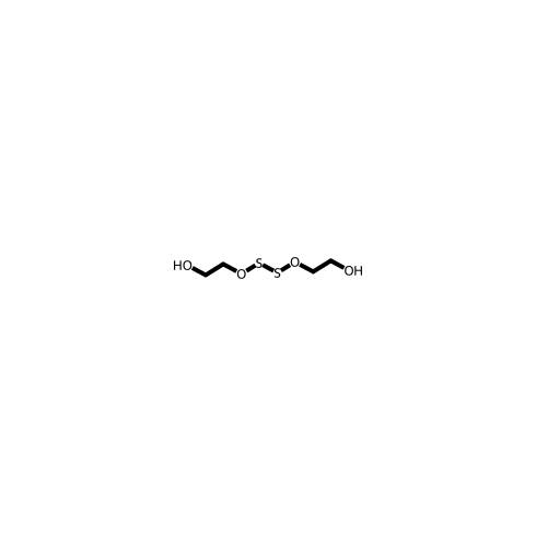 OCCOSSOCCO